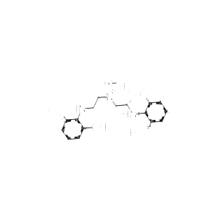 Cc1cccc(C)c1NCCN(C)CCNc1c(C)cccc1C.[Co]